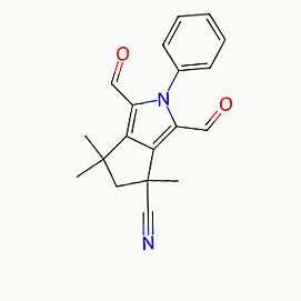 CC1(C)CC(C)(C#N)c2c1c(C=O)n(-c1ccccc1)c2C=O